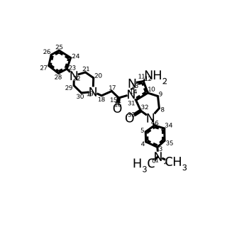 CN(C)c1ccc(N2CCc3c(N)nn(C(=O)CCN4CCN(c5ccccc5)CC4)c3C2=O)cc1